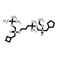 CCOP(=O)(COC(C)(C)CCCOP(=O)(COC(C)(C)C)CC1CCC1)CC1CCCC1